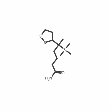 CC(CCCC(N)=O)(C1CCSS1)[Si](C)(C)C